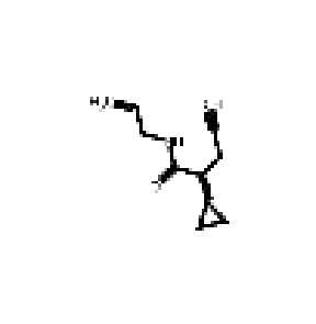 C#CCC(C(=O)NCC=C)=C1CC1